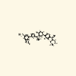 CCCN(c1nc(-c2nc(N)cc(N)n2)cs1)c1cc(-c2ccc(C(=O)N3CCOCC3)nc2)ccc1C